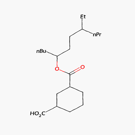 CCCCC(CCC(CC)CCC)OC(=O)C1CCCC(C(=O)O)C1